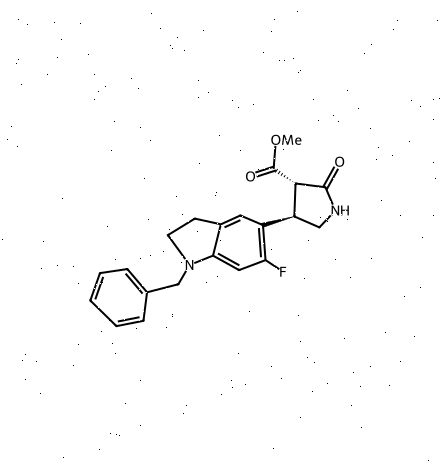 COC(=O)[C@@H]1C(=O)NC[C@H]1c1cc2c(cc1F)N(Cc1ccccc1)CC2